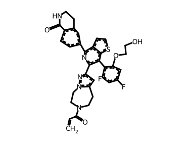 C=CC(=O)N1CCc2cc(-c3nc(-c4ccc5c(c4)CCNC5=O)c4ccsc4c3-c3c(F)cc(F)cc3OCCO)nn2CC1